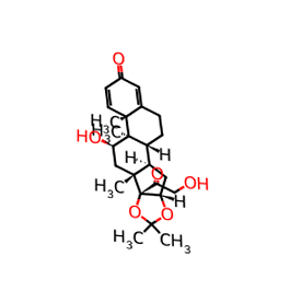 CC1(C)O[C@H]2C[C@@H]3[C@H]4CCC5=CC(=O)C=C[C@@]5(C)[C@]4(C)[C@H](O)C[C@@]3(C)[C@@]2(C(=O)CO)O1